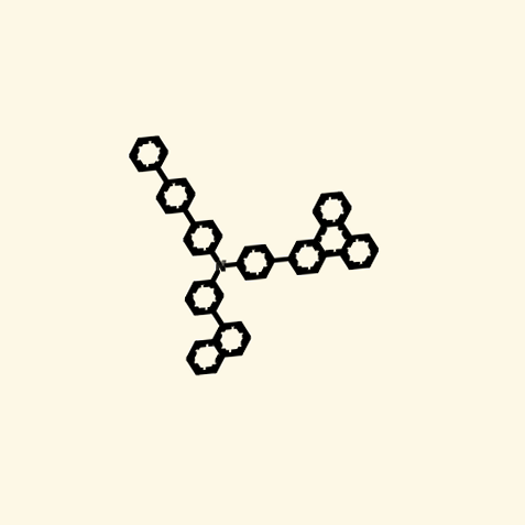 c1ccc(-c2ccc(-c3ccc(N(c4ccc(-c5ccc6c7ccccc7c7ccccc7c6c5)cc4)c4cccc(-c5cccc6ccccc56)c4)cc3)cc2)cc1